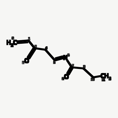 C=CC(=O)CC=NC(=O)CCC